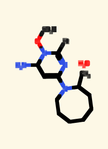 CCC1=NC(N2CCCCCCC2C)=CC(N)N1OS(=O)(=O)O.O